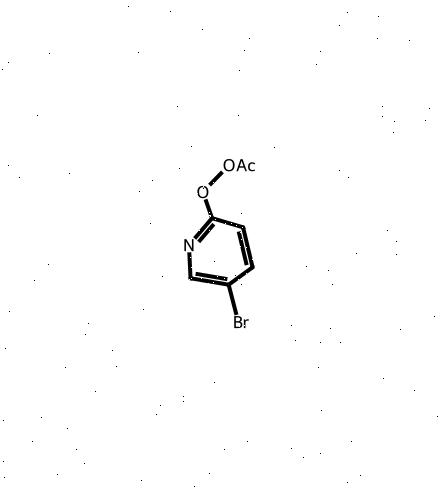 CC(=O)OOc1ccc(Br)cn1